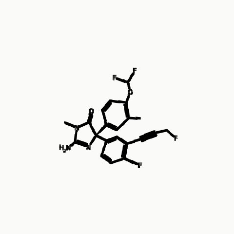 Cc1cc([C@@]2(c3ccc(F)c(C#CCF)c3)N=C(N)N(C)C2=O)ccc1OC(F)F